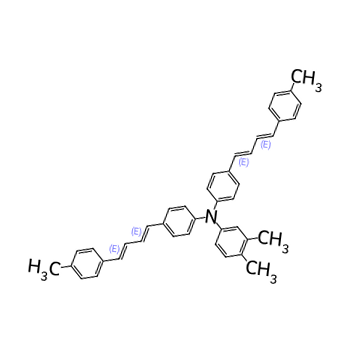 Cc1ccc(/C=C/C=C/c2ccc(N(c3ccc(/C=C/C=C/c4ccc(C)cc4)cc3)c3ccc(C)c(C)c3)cc2)cc1